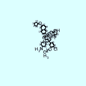 CCCOc1cc(C(F)(F)[C@H](NS(=O)(=O)c2ccc3cc(OC4CCCC4)ccc3c2)C(=O)N2CCC(N)CC2)ccc1Cl.O=C(O)C(F)(F)F